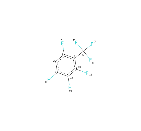 Fc1cc(F)c(C(F)(F)F)c(F)c1F